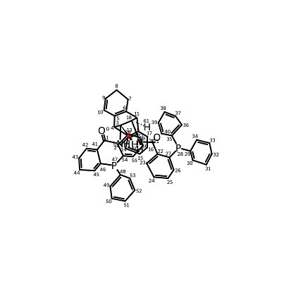 O=C(N[C@@H]1C2C3=C(CCC=C3)C(C3=C2C=CCC3)[C@H]1NC(=O)c1ccccc1P(c1ccccc1)c1ccccc1)c1ccccc1P(c1ccccc1)c1ccccc1